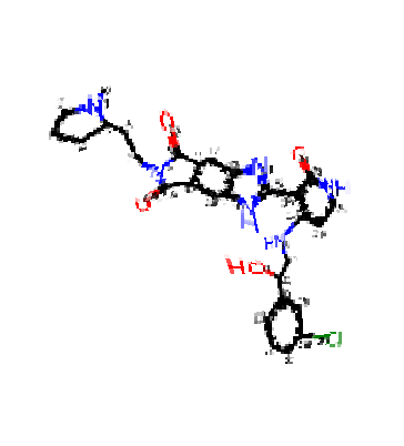 CN1CCCC1CCN1C(=O)c2cc3nc(-c4c(NCC(O)c5cccc(Cl)c5)cc[nH]c4=O)[nH]c3cc2C1=O